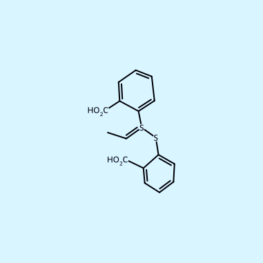 CC=S(Sc1ccccc1C(=O)O)c1ccccc1C(=O)O